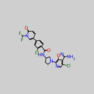 Nc1noc2c(N3CCC(NC(=O)c4ccc(-c5ccc(=O)n(C(F)F)c5)cc4Cl)C3)ncc(Cl)c12